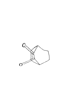 O=C1C(=O)C2C=CC1CC2